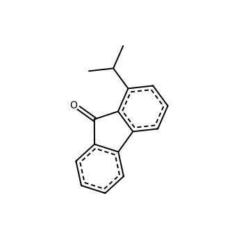 CC(C)c1cccc2c1C(=O)c1ccccc1-2